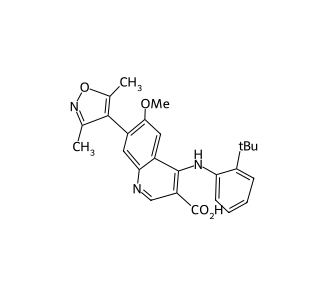 COc1cc2c(Nc3ccccc3C(C)(C)C)c(C(=O)O)cnc2cc1-c1c(C)noc1C